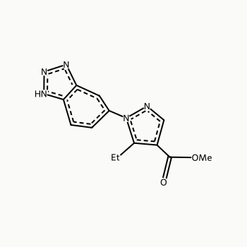 CCc1c(C(=O)OC)cnn1-c1ccc2[nH]nnc2c1